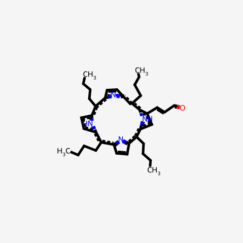 CCCCc1c2nc(c(CCCC)c3cc(C=CC=O)c([nH]3)c(CCCC)c3nc(c(CCCC)c4ccc1[nH]4)C=C3)C=C2